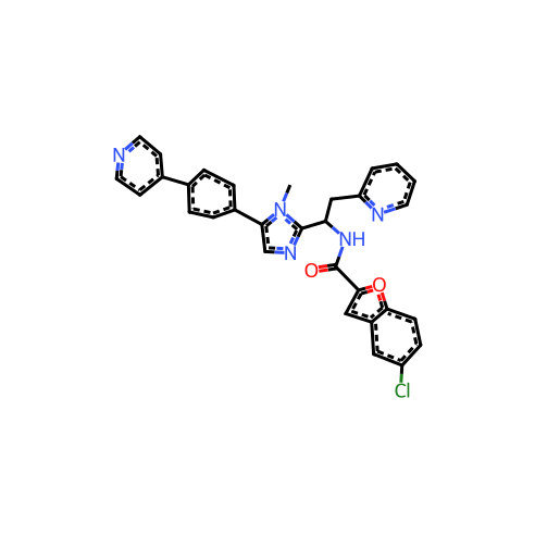 Cn1c(-c2ccc(-c3ccncc3)cc2)cnc1C(Cc1ccccn1)NC(=O)c1cc2cc(Cl)ccc2o1